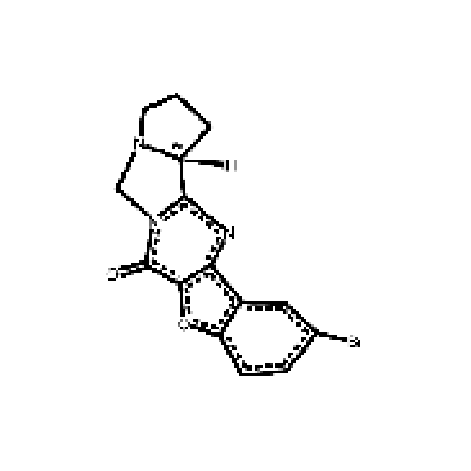 O=c1c2oc3ccc(Br)cc3c2nc2n1CN1CCC[C@H]21